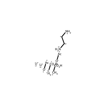 CC(=O)O.CC(=O)O.CC(=O)[O-].CC(=O)[O-].NCCN.[Li+].[Li+]